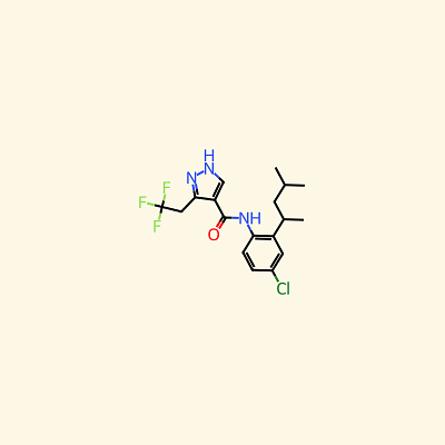 CC(C)CC(C)c1cc(Cl)ccc1NC(=O)c1c[nH]nc1CC(F)(F)F